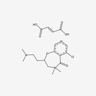 CN(C)CCC1C[N+](C)(C)C(=O)c2c(Cl)cncc2O1.O=C(O)/C=C/C(=O)O